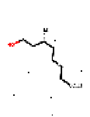 CCOC(=O)CCCC[C@@H](CC)CCO